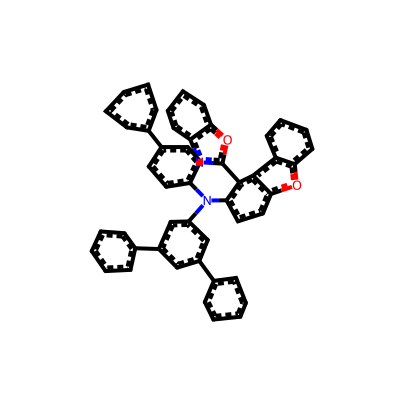 c1ccc(-c2ccc(N(c3cc(-c4ccccc4)cc(-c4ccccc4)c3)c3ccc4oc5ccccc5c4c3-c3nc4ccccc4o3)cc2)cc1